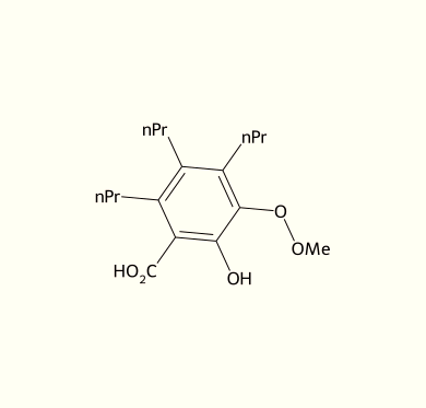 CCCc1c(CCC)c(OOC)c(O)c(C(=O)O)c1CCC